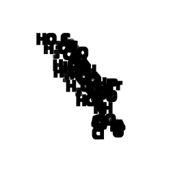 CC(C)C1=C2[C@H]3CC[C@@H]4[C@@]5(C)CC[C@H](OC(=O)[C@H]6C[C@@H](C(=O)O)C6(C)C)C(C)(C)[C@@H]5CC[C@@]4(C)[C@]3(C)CC[C@@]2([C@@H](O)CNCc2ccc(Cl)cc2O[C@@H]2CCOC2)CC1=O